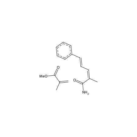 C=C(C)C(=O)OC.CC(=CC=Cc1ccccc1)C(N)=O